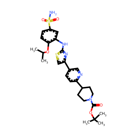 CC(C)Oc1ccc(S(N)(=O)=O)cc1Nc1nc(-c2ccc(C3CCN(C(=O)OC(C)(C)C)CC3)nc2)cs1